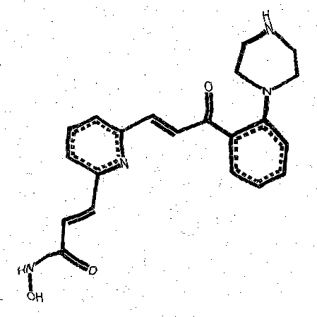 O=C(/C=C/c1cccc(/C=C/C(=O)c2ccccc2N2CCNCC2)n1)NO